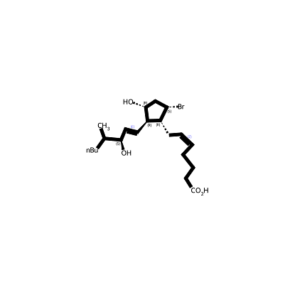 CCCCC(C)[C@H](O)/C=C/[C@@H]1[C@@H](C/C=C\CCCC(=O)O)[C@@H](Br)C[C@H]1O